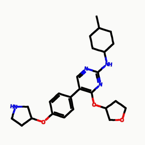 CC1CCC(Nc2ncc(-c3ccc(OC4CCNC4)cc3)c(OC3CCOC3)n2)CC1